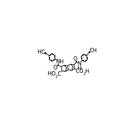 C#Cc1ccc(NC(=O)C2C3CC(C2C(=O)O)C2C4CC(C(C(=O)Nc5ccc(C#C)cc5)C4C(=O)O)C32)cc1